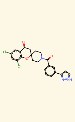 O=C1CC2(CCN(C(=O)c3cccc(-c4cc[nH]n4)c3)CC2)Oc2c(Cl)cc(Cl)cc21